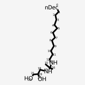 CCCCCCCCCCCCCCCCCCCCCCNC(C)(C)NCC(O)CO